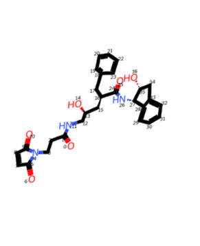 O=C(CCN1C(=O)C=CC1=O)NC[C@@H](O)C[C@@H](Cc1ccccc1)C(=O)N[C@H]1c2ccccc2C[C@H]1O